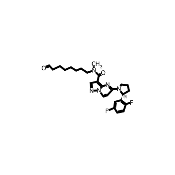 CN(CCCCCCCC=O)C(=O)c1cnn2ccc(N3CCC[C@@H]3c3cc(F)ccc3F)nc12